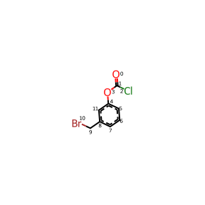 O=C(Cl)Oc1cccc(CBr)c1